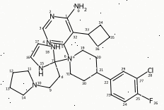 Nc1ncnc([N+]2(C3(CCN4CCCC4)NC=CN3)CCC(c3ccc(F)c(Cl)c3)CC2)c1C1CCC1